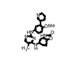 COc1ccc(Nc2ncc(C)c(Nc3ccc4oc(=O)[nH]c4c3)n2)cc1-c1cccnc1